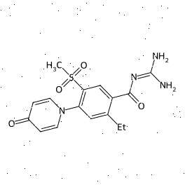 CCc1cc(-n2ccc(=O)cc2)c(S(C)(=O)=O)cc1C(=O)N=C(N)N